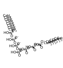 O=[N+]([O-])O.O=[N+]([O-])O.O=[N+]([O-])O.O=[N+]([O-])O.O=[N+]([O-])O.O=[N+]([O-])O.O=[N+]([O-])O.[CaH2].[CaH2].[CaH2].[CaH2].[CaH2].[CaH2].[CaH2].[CaH2].[CaH2].[CaH2].[CaH2].[CaH2].[CaH2].[CaH2].[CaH2]